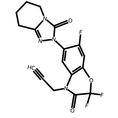 C#CCN1C(=O)C(F)(F)Oc2cc(F)c(-n3nc4n(c3=O)CCCC4)cc21